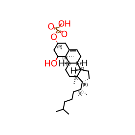 CC(C)CCC[C@@H](C)[C@H]1CC[C@H]2[C@@H]3CC=C4C[C@@H](OS(=O)(=O)O)CC(O)[C@]4(C)[C@H]3CC[C@]12C